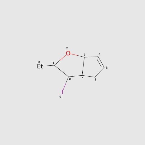 CCC1OC2C=CCC2C1I